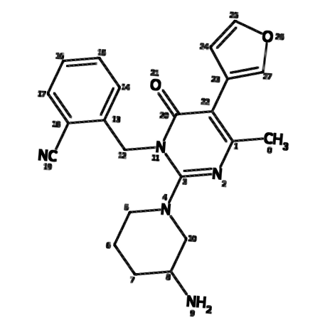 Cc1nc(N2CCCC(N)C2)n(Cc2ccccc2C#N)c(=O)c1-c1ccoc1